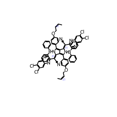 C/C=C\COc1ccc(-c2c3/c(=C(\C#N)c4cnc5cc(Cl)c(Cl)cc5n4)n(B(c4ccccc4)c4ccccc4)c(-c4ccc(OC/C=C\C)cc4)c3/c(=C(\C#N)c3cnc4cc(Cl)c(Cl)cc4n3)n2B(c2ccccc2)c2ccccc2)cc1